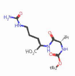 CC(C)[C@H](NC(=O)OC(C)(C)C)C(=O)NC(CCCNC(N)=O)C(=O)O